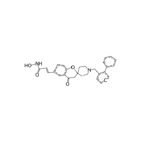 O=C(C=Cc1ccc2c(c1)C(=O)CC1(CCN(Cc3ccccc3-c3ccccc3)CC1)O2)NO